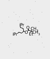 CCC(C)(C)C(=O)OC(CCC(C)C)CCC(C)C